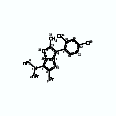 CCCN(CCC)c1c(C(C)C)nn2c(-c3ccc(Cl)cc3Cl)c(C)oc12